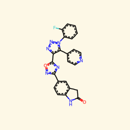 O=C1Cc2cc(-c3noc(-c4nnn(-c5ccccc5F)c4-c4ccncc4)n3)ccc2N1